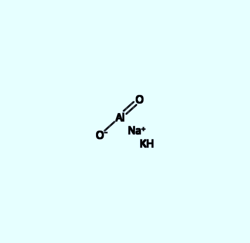 [KH].[Na+].[O]=[Al][O-]